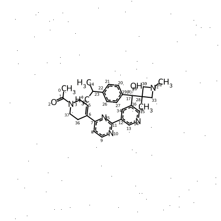 CC(=O)N1CC=C(c2ccnc(-c3cncc([C@@](O)(c4ccc(C(C)C)cc4)C4(C)CN(C)C4)c3)n2)CC1